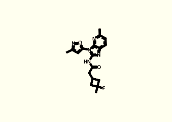 Cc1cc(-n2c(NC(=O)CC3CC(C)(F)C3)nc3ccc(C)nc32)on1